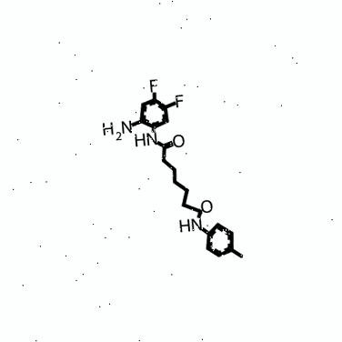 Cc1ccc(NC(=O)CCCCCC(=O)Nc2cc(F)c(F)cc2N)cc1